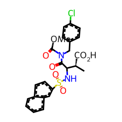 COC(=O)N(Cc1ccc(Cl)cc1)C(=O)C(NS(=O)(=O)c1ccc2ccccc2c1)[C@H](C)C(=O)O